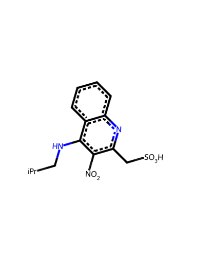 CC(C)CNc1c([N+](=O)[O-])c(CS(=O)(=O)O)nc2ccccc12